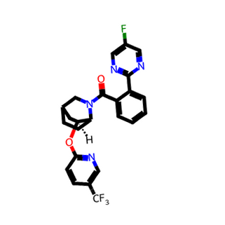 O=C(c1ccccc1-c1ncc(F)cn1)N1CC2CCC1[C@@H](Oc1ccc(C(F)(F)F)cn1)C2